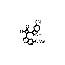 COc1ccc2[nH]cc(-c3c(-c4c[nH]c5ccc(C#N)cc45)c(=O)c3=O)c2c1